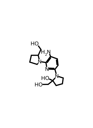 Nc1ccc(N2CCCC2(O)CO)nc1N1CCCC1CO